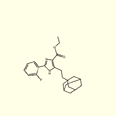 CCOC(=O)c1nc(-c2ccccc2F)[nH]c1CCC12CC3CC(CC(C3)C1)C2